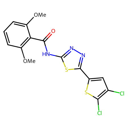 COc1cccc(OC)c1C(=O)Nc1nnc(-c2cc(Cl)c(Cl)s2)s1